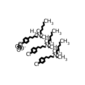 CCCCCCC[N+](CC)(CC)CCCCc1ccc(Cl)cc1.CCCCCCC[N+](CC)(CC)CCCCc1ccc(Cl)cc1.CCCCCCC[N+](CC)(CC)CCCCc1ccc(Cl)cc1.O=P([O-])([O-])[O-]